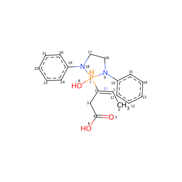 C/C=C(\CC(=O)O)[PH]1(O)N(c2ccccc2)CCN1c1ccccc1